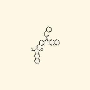 O=C1C(=Cc2ccc(N(c3ccc4ccccc4c3)c3ccc4ccccc4c3)cc2)C(=O)c2cc3ccccc3cc21